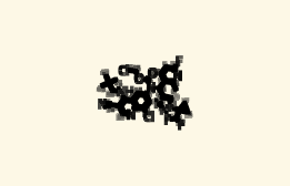 Cc1nc(F)ccc1[C@@H](c1cn(C2(C(F)F)CC2)nn1)N(C(=O)OCCl)c1cc(Cl)c2ncc(C#N)c(NCC(C)(C)C)c2c1